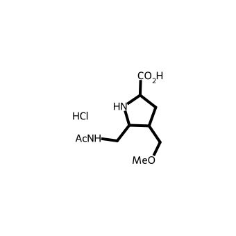 COCC1CC(C(=O)O)NC1CNC(C)=O.Cl